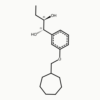 CC[C@@H](O)[C@@H](O)c1cccc(OCC2CCCCCC2)c1